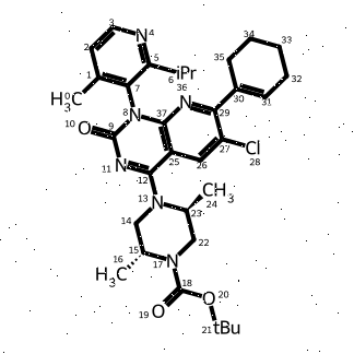 Cc1ccnc(C(C)C)c1-n1c(=O)nc(N2C[C@@H](C)N(C(=O)OC(C)(C)C)C[C@@H]2C)c2cc(Cl)c(C3=CCCCC3)nc21